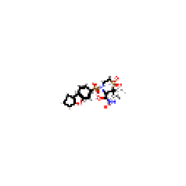 CC1(C)C(C(=O)NO)N(S(=O)(=O)c2ccc3c4c(oc3c2)CCC4)CCS1(=O)=O